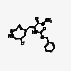 COC(=O)/C(=C/C1=CC(Cl)CN/N=C/C=C/1)NC(=O)OCc1ccccc1